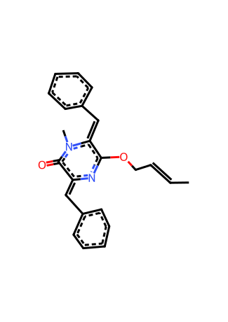 C/C=C/COc1n/c(=C\c2ccccc2)c(=O)n(C)/c1=C\c1ccccc1